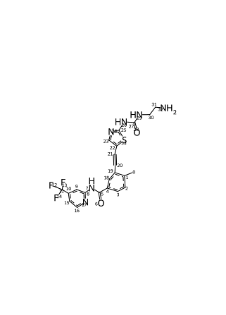 Cc1ccc(C(=O)Nc2cc(C(F)(F)F)ccn2)cc1C#Cc1cnc(NC(=O)NCCN)s1